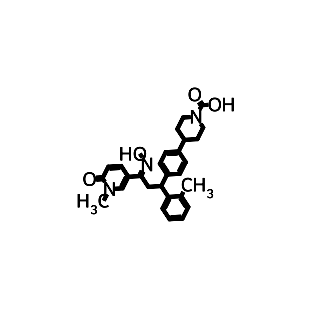 Cc1ccccc1C(CC(=NO)c1ccc(=O)n(C)c1)c1ccc(C2CCN(C(=O)O)CC2)cc1